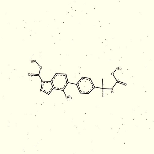 CC(C)(C)OC(=O)NC(C)(C)c1ccc(-c2ccc3c(cnn3C(=O)OC(C)(C)C)c2[N+](=O)[O-])cc1